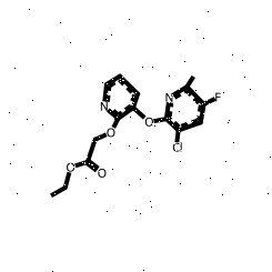 CCOC(=O)COc1ncccc1Oc1nc(C)c(F)cc1Cl